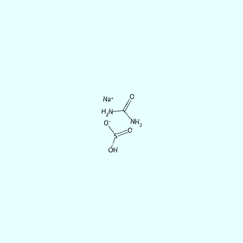 NC(N)=O.O=S([O-])O.[Na+]